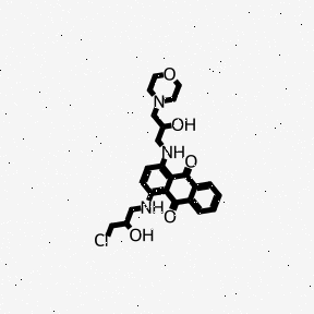 O=C1c2ccccc2C(=O)c2c(NCC(O)CN3CCOCC3)ccc(NCC(O)CCl)c21